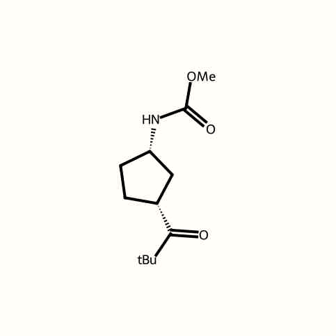 COC(=O)N[C@H]1CC[C@@H](C(=O)C(C)(C)C)C1